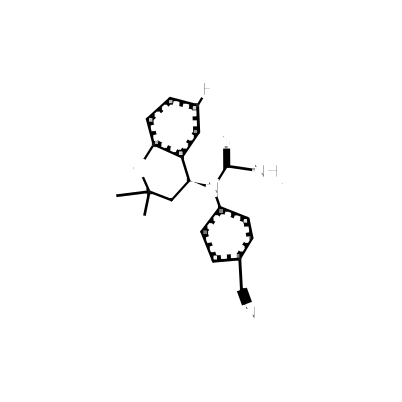 CC1(C)C[C@H](N(C(N)=S)c2ccc(C#N)cc2)c2cc(F)ccc2O1